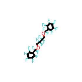 Fc1c(F)c(F)c(C(F)(F)OCC(F)(F)C(F)(F)COC(F)(F)c2c(F)c(F)c(F)c(F)c2F)c(F)c1F